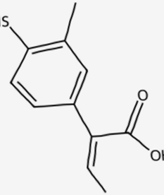 CC=C(C(=O)O)c1ccc(S)c(C)c1